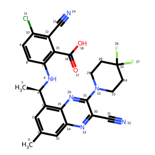 Cc1cc([C@@H](C)Nc2ccc(Cl)c(C#N)c2C(=O)O)c2nc(N3CCC(F)(F)CC3)c(C#N)nc2c1